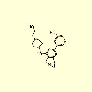 N#Cc1cccc(-c2cc(NC3CCN(CCO)CC3)c3c(c2)C2CN2C3)c1